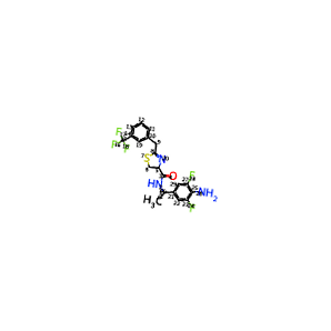 C[C@@H](NC(=O)C1CSC(Cc2cccc(C(F)(F)F)c2)=N1)c1cc(F)c(N)c(F)c1